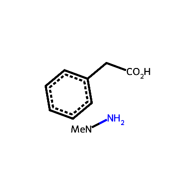 CNN.O=C(O)Cc1ccccc1